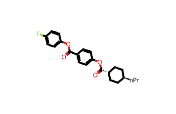 CCC[C@H]1CC[C@H](C(=O)Oc2ccc(C(=O)Oc3ccc(F)cc3)cc2)CC1